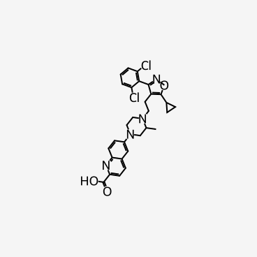 CC1CN(c2ccc3nc(C(=O)O)ccc3c2)CCN1CCc1c(-c2c(Cl)cccc2Cl)noc1C1CC1